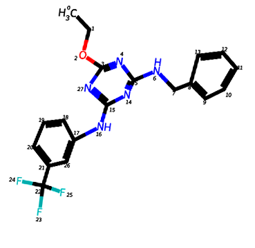 CCOc1nc(NCc2ccccc2)nc(Nc2cccc(C(F)(F)F)c2)n1